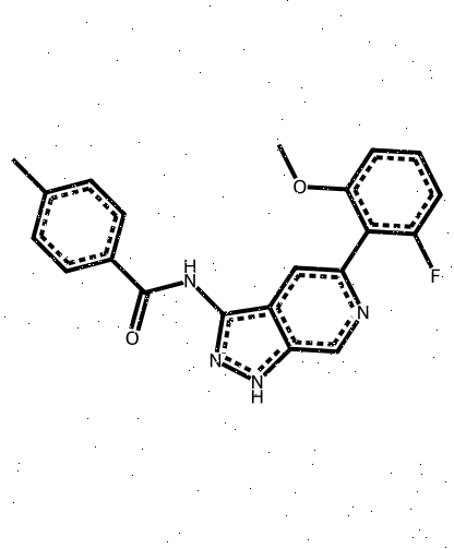 COc1cccc(F)c1-c1cc2c(NC(=O)c3ccc(C)cc3)n[nH]c2cn1